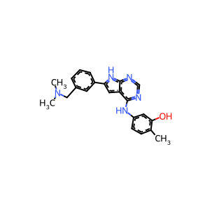 Cc1ccc(Nc2ncnc3[nH]c(-c4cccc(CN(C)C)c4)cc23)cc1O